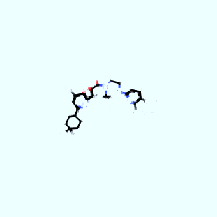 COc1nc(N2CCN(C(O)c3cc4nc(C5CCC(C)(C)CC5)cc(C(C)(C)C)c4o3)C(C)(C)C2)ccc1C(=O)O